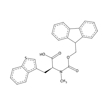 CN(C(=O)OCC1c2ccccc2-c2ccccc21)[C@@H](Cc1csc2ccccc12)C(=O)O